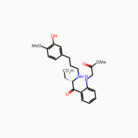 COC(=O)CNc1ccccc1C(=O)[C@H](CC(=O)O)NCCCc1ccc(OC)c(O)c1